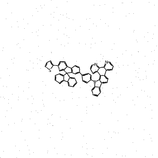 c1csc(-c2ccc3c(c2)C2(c4ccccc4-c4ccccc42)c2cc(-c4ccc(B5c6ccccc6-c6ccc7c8cccnc8c8ncccc8c7c65)cc4)ccc2-3)c1